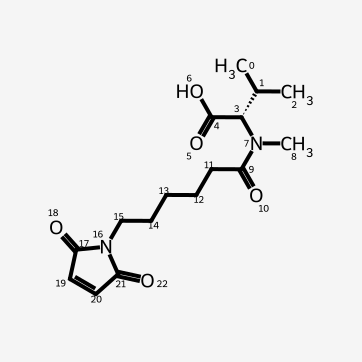 CC(C)[C@@H](C(=O)O)N(C)C(=O)CCCCCN1C(=O)C=CC1=O